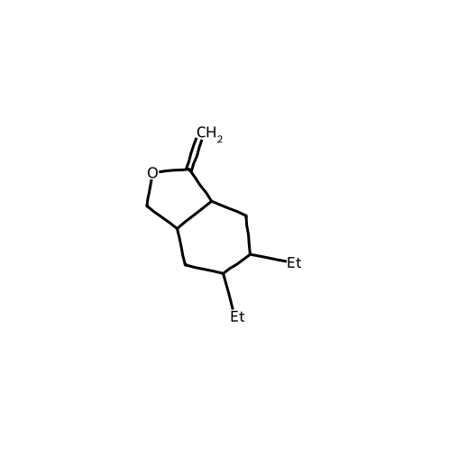 C=C1OCC2CC(CC)C(CC)CC12